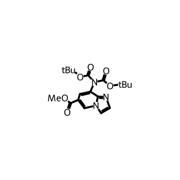 COC(=O)c1cc(N(C(=O)OC(C)(C)C)C(=O)OC(C)(C)C)c2nccn2c1